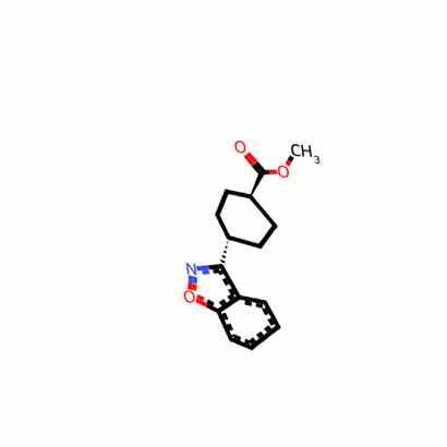 COC(=O)[C@H]1CC[C@H](c2noc3ccccc32)CC1